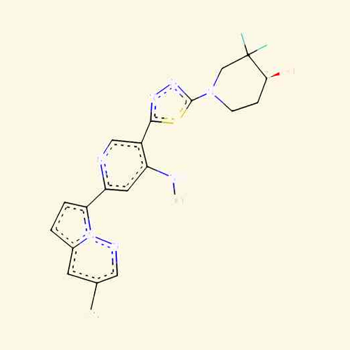 CC(C)Nc1cc(-c2ccc3cc(C#N)cnn23)ncc1-c1nnc(N2CC[C@H](O)C(F)(F)C2)s1